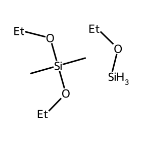 CCO[SiH3].CCO[Si](C)(C)OCC